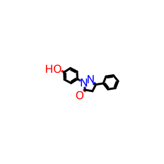 O=C1CC(c2ccccc2)=NN1c1ccc(O)cc1